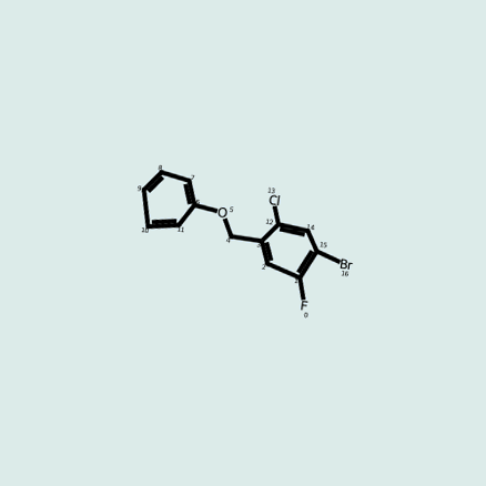 Fc1cc(COc2ccccc2)c(Cl)cc1Br